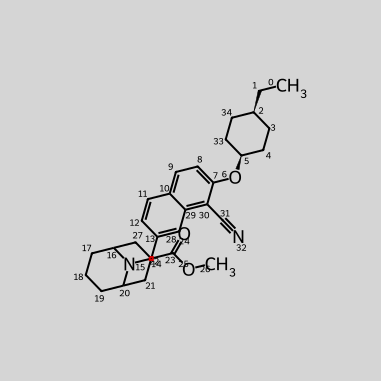 CC[C@H]1CC[C@@H](Oc2ccc3ccc(CN4C5CCCC4CC(C(=O)OC)C5)cc3c2C#N)CC1